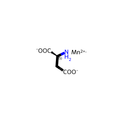 N[C@@H](CC(=O)[O-])C(=O)[O-].[Mn+2]